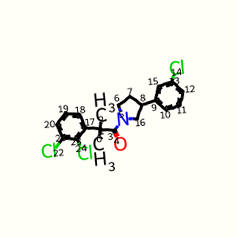 CC(C)(C(=O)N1CCC(c2cccc(Cl)c2)C1)c1cccc(Cl)c1Cl